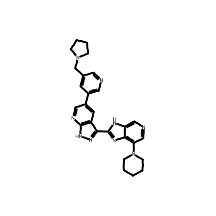 c1ncc(-c2cnc3[nH]nc(-c4nc5c(N6CCCCC6)cncc5[nH]4)c3c2)cc1CN1CCCC1